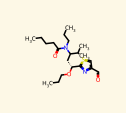 CCCCC(=O)N(CCC)C(C[C@@H](OCCC)c1nc(C=O)cs1)C(C)C